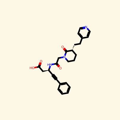 O=C(O)C[C@H](C#Cc1ccccc1)NC(=O)CN1CCC[C@@H](CCc2ccncc2)C1=O